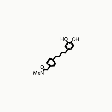 CNC(=O)Cc1ccc(CCCCc2ccc(O)c(O)c2)cc1